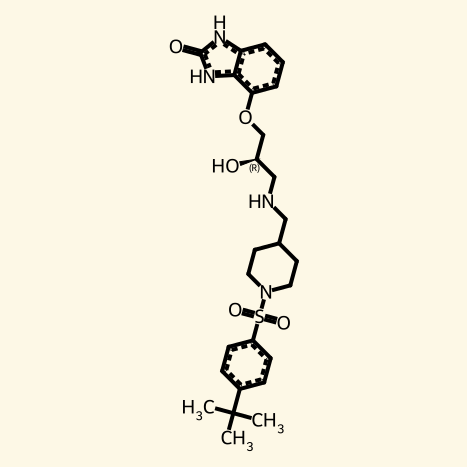 CC(C)(C)c1ccc(S(=O)(=O)N2CCC(CNC[C@@H](O)COc3cccc4[nH]c(=O)[nH]c34)CC2)cc1